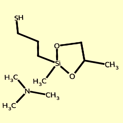 CC1CO[Si](C)(CCCS)O1.CN(C)C